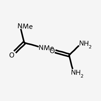 CNC(=O)NC.NC(N)=O